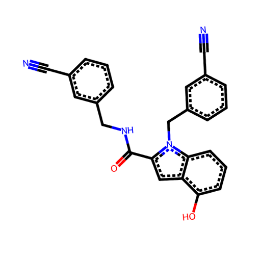 N#Cc1cccc(CNC(=O)c2cc3c(O)cccc3n2Cc2cccc(C#N)c2)c1